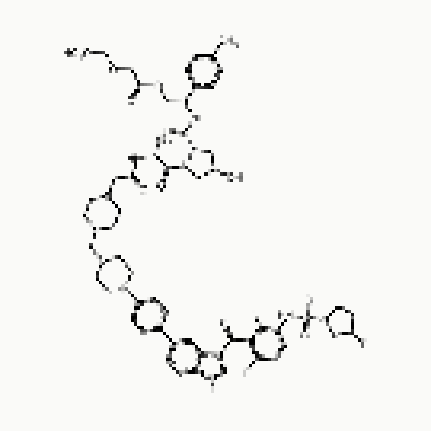 Cc1ccc(C(COC(=O)COCC(=O)O)NC(=O)[C@@H]2C[C@@H](O)CN2C(=O)C(NC(=O)CN2CCC(CN3CCN(c4ccc(-c5cnc6[nH]cc(C(=O)c7c(F)ccc(NS(=O)(=O)N8CC[C@@H](F)C8)c7F)c6c5)cc4)CC3)CC2)C(C)(C)C)cc1